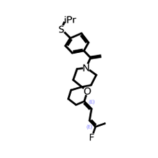 C=C(c1ccc(SC(C)C)cc1)N1CCC2(CCC/C(=C\C=C(/C)F)O2)CC1